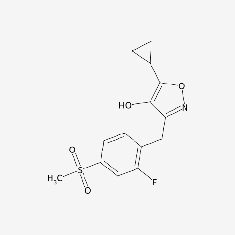 CS(=O)(=O)c1ccc(Cc2noc(C3CC3)c2O)c(F)c1